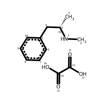 CN[C@@H](C)Cc1ccccc1.O=C(O)C(=O)O